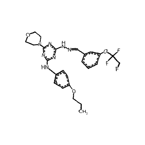 CCCOc1ccc(Nc2nc(N/N=C/c3cccc(OC(F)(F)CF)c3)nc(N3CCOCC3)n2)cc1